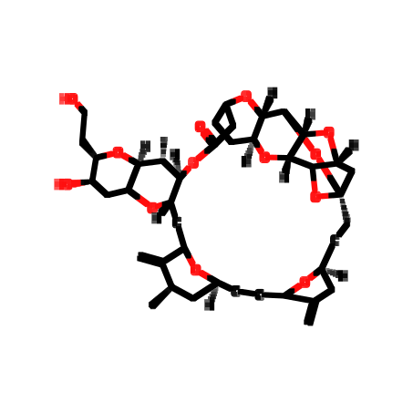 C=C1C[C@@H]2CC[C@@]34C[C@H]5O[C@H]6C(O3)[C@H]3OC(CC[C@@H]3O[C@H]6C5O4)CC(=O)O[C@@H]3[C@@H](C)[C@@H]4O[C@H](CCO)[C@H](O)CC4O[C@H]3CC3O[C@@H](CCC1O2)C[C@@H](C)C3=C